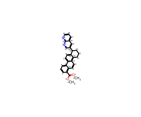 COC(OC)c1cccc2c1ccc1c3c(ccc12)C(c1cnc2ncccc2c1)CCC3